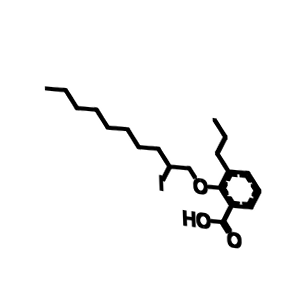 CCCCCCCCC(I)COc1c(CCC)cccc1C(=O)O